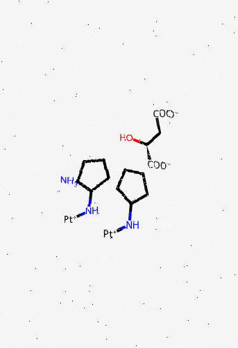 N.O=C([O-])C[C@H](O)C(=O)[O-].[Pt+][NH]C1CCCC1.[Pt+][NH]C1CCCC1